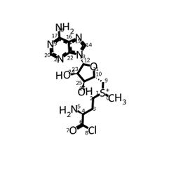 C[S+](CC[C@H](N)C(=O)Cl)C[C@H]1O[C@@H](n2cnc3c(N)ncnc32)[C@H](O)[C@@H]1O